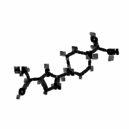 NC(=O)c1cnc(N2CCN(C(=O)O)CC2)s1